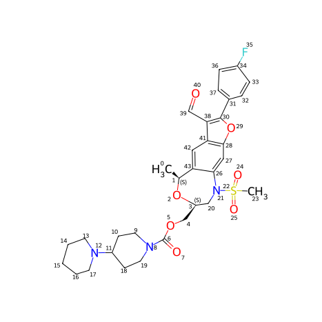 C[C@@H]1O[C@H](COC(=O)N2CCC(N3CCCCC3)CC2)CN(S(C)(=O)=O)c2cc3oc(-c4ccc(F)cc4)c(C=O)c3cc21